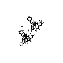 Cc1c(CC(C)N)sc2c(NCc3ccc(F)s3)nc(Cl)nc12.Cc1c(CC(C)N)sc2c(NCc3ccccc3)nc(Cl)nc12